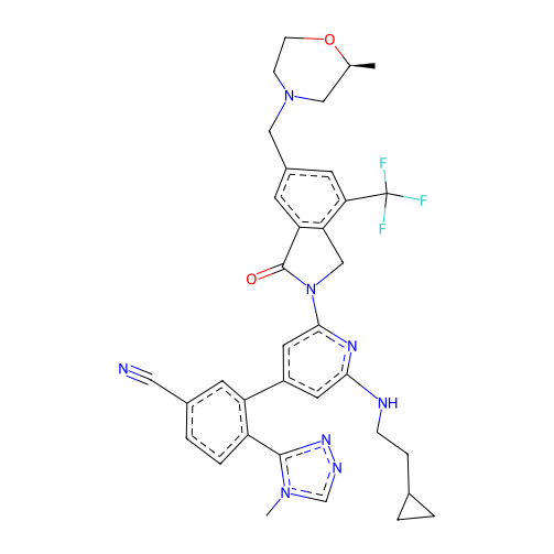 C[C@H]1CN(Cc2cc3c(c(C(F)(F)F)c2)CN(c2cc(-c4cc(C#N)ccc4-c4nncn4C)cc(NCCC4CC4)n2)C3=O)CCO1